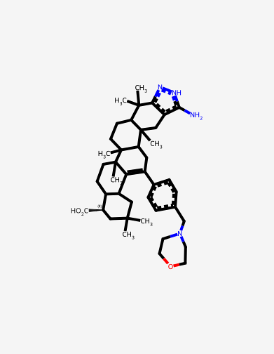 CC1(C)CC2C3=C(c4ccc(CN5CCOCC5)cc4)CC4C5(C)Cc6c(n[nH]c6N)C(C)(C)C5CCC4(C)C3(C)CCC2[C@H](C(=O)O)C1